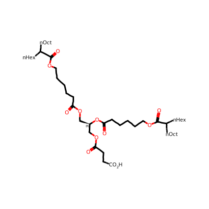 CCCCCCCCC(CCCCCC)C(=O)OCCCCCC(=O)OC[C@H](COC(=O)CCC(=O)O)OC(=O)CCCCCOC(=O)C(CCCCCC)CCCCCCCC